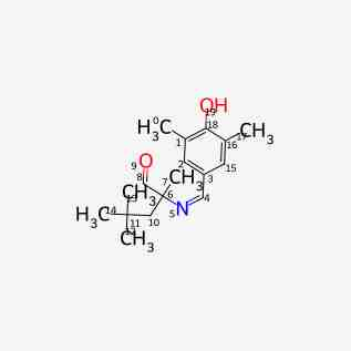 Cc1cc(/C=N\C(C)(C=O)CC(C)(C)C)cc(C)c1O